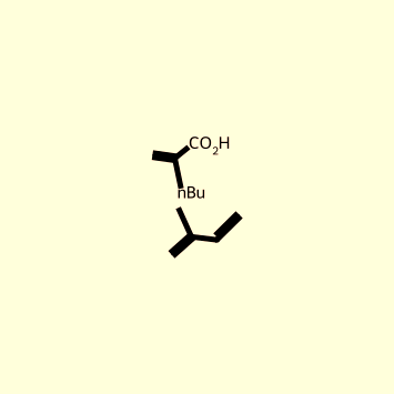 C=C(CCCC)C(=O)O.C=CC(=C)C